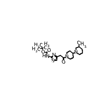 CC1CCCN(C2CCN(C(=O)Cc3csc(NC(=O)OC(C)(C)C)n3)CC2)C1